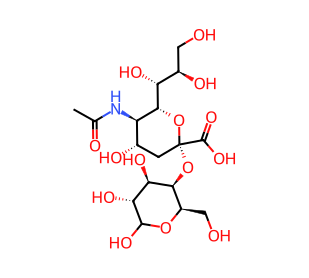 CC(=O)N[C@H]1[C@H]([C@H](O)[C@H](O)CO)O[C@@](O[C@@H]2[C@H](O)[C@@H](O)C(O)O[C@@H]2CO)(C(=O)O)C[C@@H]1O